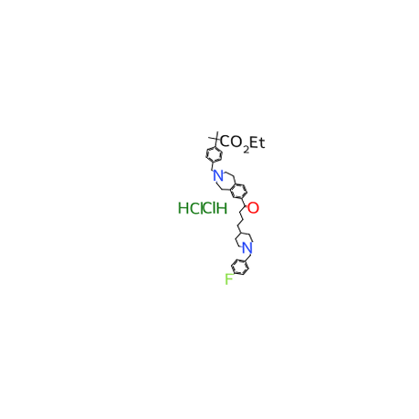 CCOC(=O)C(C)(C)c1ccc(CN2CCc3ccc(C(=O)CCCC4CCN(Cc5ccc(F)cc5)CC4)cc3CC2)cc1.Cl.Cl